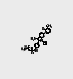 Cc1cccn(-c2ccc3c(N)c(-c4ccc(NS(=O)(=O)CC(C)C)cc4)n(C4CCC4)c3c2)c1=O